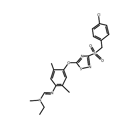 CCN(C)C=Nc1cc(C)c(Oc2nc(S(=O)(=O)Cc3ccc(Cl)cc3)ns2)cc1C